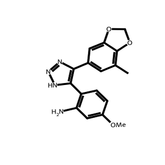 COc1ccc(-c2[nH]nnc2-c2cc(C)c3c(c2)OCO3)c(N)c1